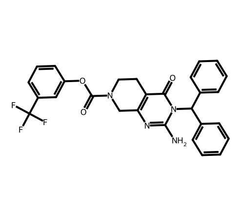 Nc1nc2c(c(=O)n1C(c1ccccc1)c1ccccc1)CCN(C(=O)Oc1cccc(C(F)(F)F)c1)C2